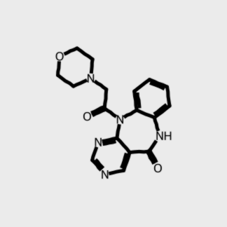 O=C1Nc2ccccc2N(C(=O)CN2CCOCC2)c2ncncc21